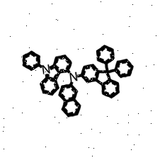 c1ccc(-n2c3ccccc3c3c(N(c4ccc5c(c4)-c4ccccc4C5(c4ccccc4)c4ccccc4)c4ccc5ccccc5c4)cccc32)cc1